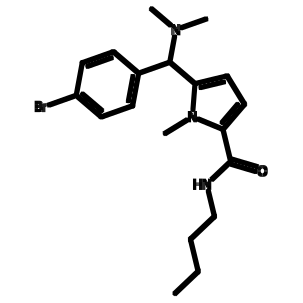 CCCCNC(=O)c1ccc(C(c2ccc(Br)cc2)N(C)C)n1C